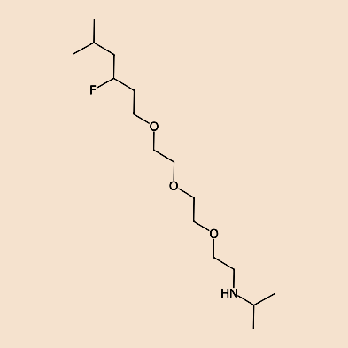 CC(C)CC(F)CCOCCOCCOCCNC(C)C